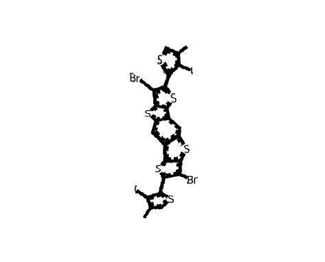 Cc1csc(-c2sc3c(sc4cc5c(cc43)sc3c(Br)c(-c4scc(C)c4I)sc35)c2Br)c1I